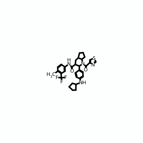 Cc1ccc(NC(=O)C2CC3CCCC3N(C(=O)c3cscn3)C2c2ccc(NC3CCCC3)cc2)cc1C(F)(F)F